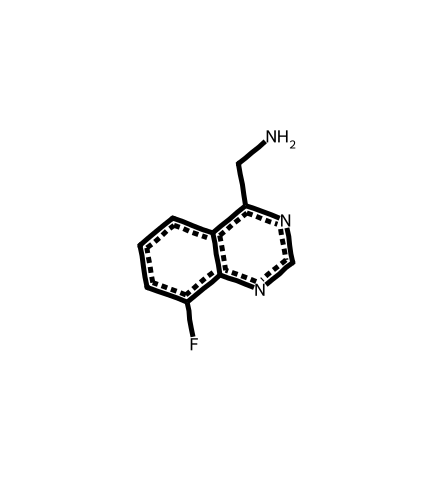 NCc1ncnc2c(F)cccc12